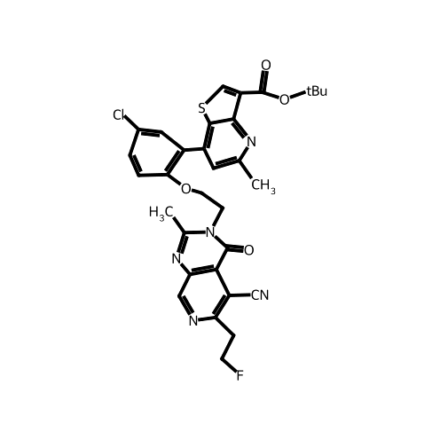 Cc1cc(-c2cc(Cl)ccc2OCCn2c(C)nc3cnc(CCF)c(C#N)c3c2=O)c2scc(C(=O)OC(C)(C)C)c2n1